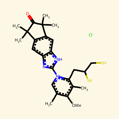 COc1c(C)c[n+](-c2nc3cc4c(cc3[nH]2)C(C)(C)C(=O)C4(C)C)c(CC(S)CS)c1C.[Cl-]